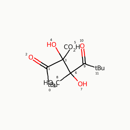 CC(C)(C)C(=O)C(O)(C(=O)O)C(O)(C(=O)O)C(=O)C(C)(C)C